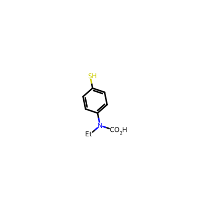 CCN(C(=O)O)c1ccc(S)cc1